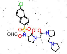 C[C@@H](C(=O)N1CCC[C@H]1CN1CCCC1)N1CC[C@H](N(OC=O)S(=O)(=O)c2ccc3cc(Cl)ccc3c2)C1=O